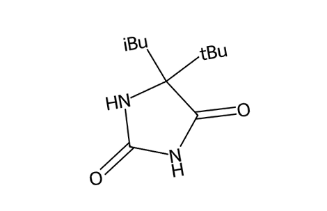 CCC(C)C1(C(C)(C)C)NC(=O)NC1=O